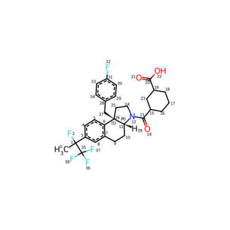 CC(F)(c1ccc2c(c1)CC[C@H]1N(C(=O)C3CCCC(C(=O)O)C3)CC[C@@]21Cc1ccc(F)cc1)C(F)(F)F